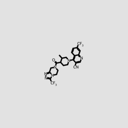 CC1CN(c2c(C#N)cnc3cc(C(F)(F)F)ccc23)CCC1C(=O)N1CCn2c(nnc2C(F)(F)F)C1